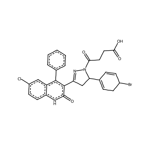 O=C(O)CCC(=O)N1N=C(c2c(-c3ccccc3)c3cc(Cl)ccc3[nH]c2=O)CC1C1=CCC(Br)C=C1